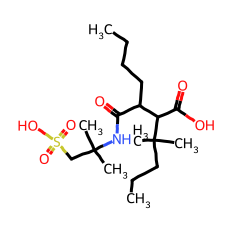 CCCCC(C(=O)NC(C)(C)CS(=O)(=O)O)C(C(=O)O)C(C)(C)CCC